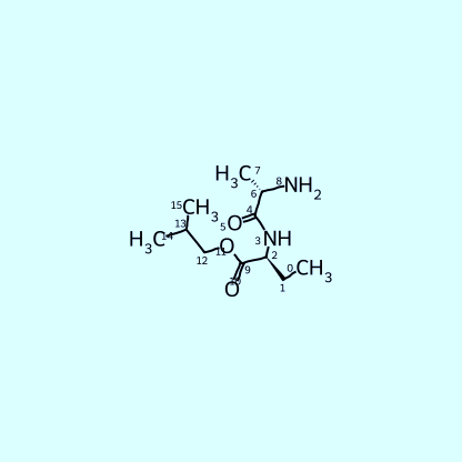 CC[C@H](NC(=O)[C@H](C)N)C(=O)OCC(C)C